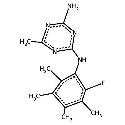 Cc1nc(N)nc(Nc2c(C)c(C)c(C)c(C)c2F)n1